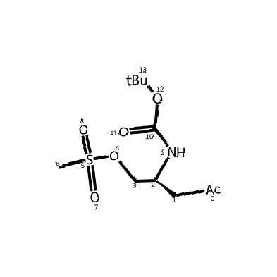 CC(=O)C[C@@H](COS(C)(=O)=O)NC(=O)OC(C)(C)C